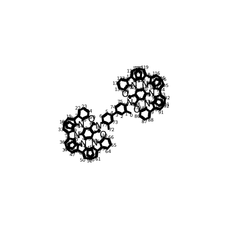 Cc1cc(-c2ccc(N3C(=O)c4c(c(-n5c6ccccc6c6ccccc65)c(-n5c6ccccc6c6ccccc65)c(-n5c6ccccc6c6ccccc65)c4-n4c5ccccc5c5ccccc54)C3=O)c(C)c2)ccc1N1C(=O)c2c(c(-n3c4ccccc4c4ccccc43)c(-n3c4ccccc4c4ccccc43)c(-n3c4ccccc4c4ccccc43)c2-n2c3ccccc3c3ccccc32)C1=O